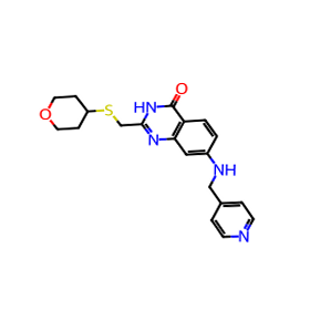 O=c1[nH]c(CSC2CCOCC2)nc2cc(NCc3ccncc3)ccc12